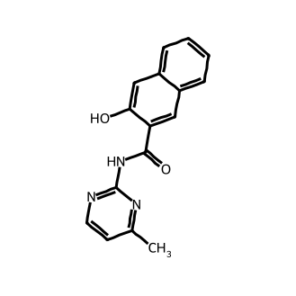 Cc1ccnc(NC(=O)c2cc3ccccc3cc2O)n1